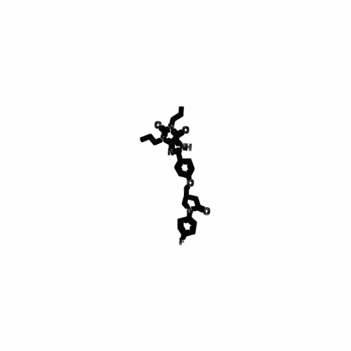 CCCn1c(=O)c2[nH]c(-c3ccc(OCC4CC(=O)N(c5ccc(F)cc5)C4)cc3)nc2n(CCC)c1=O